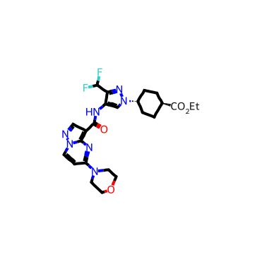 CCOC(=O)[C@H]1CC[C@H](n2cc(NC(=O)c3cnn4ccc(N5CCOCC5)nc34)c(C(F)F)n2)CC1